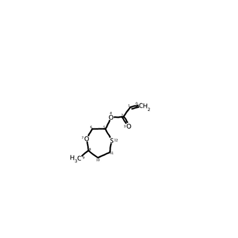 C=CC(=O)OC1COC(C)CCS1